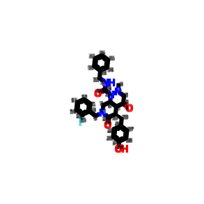 CN1CC(=O)C2C(CN(Cc3ccccc3F)C(=O)[C@@H]2Cc2ccc(O)cc2)N1C(=O)NCc1ccccc1